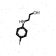 OCCNc1ccc(I)cc1